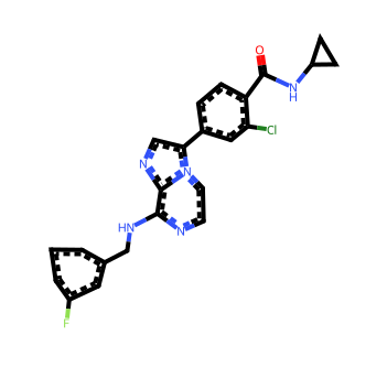 O=C(NC1CC1)c1ccc(-c2cnc3c(NCc4cccc(F)c4)nccn23)cc1Cl